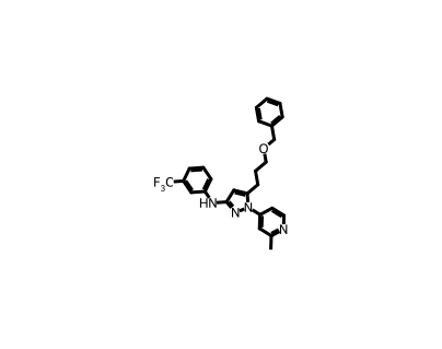 Cc1cc(-n2nc(Nc3cccc(C(F)(F)F)c3)cc2CCCOCc2ccccc2)ccn1